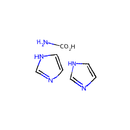 NC(=O)O.c1c[nH]cn1.c1c[nH]cn1